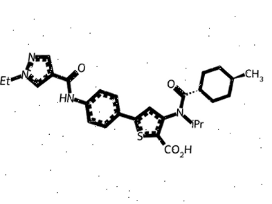 CCn1cc(C(=O)Nc2ccc(-c3cc(N(C(=O)[C@H]4CC[C@H](C)CC4)C(C)C)c(C(=O)O)s3)cc2)cn1